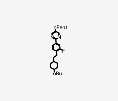 CCCCCc1cnc(-c2ccc(CCC3CCC(CCCC)CC3)c(F)c2)nc1